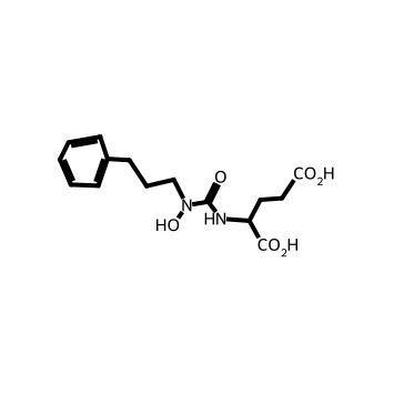 O=C(O)CCC(NC(=O)N(O)CCCc1ccccc1)C(=O)O